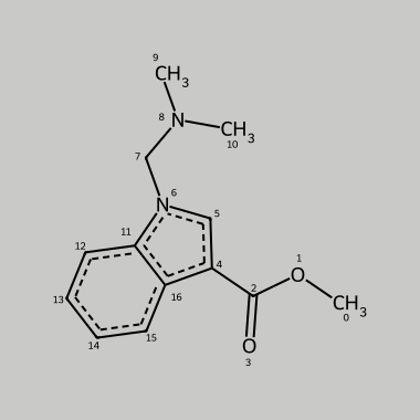 COC(=O)c1cn(CN(C)C)c2ccccc12